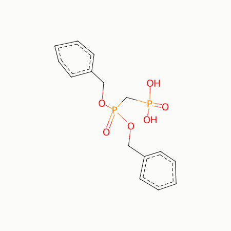 O=P(O)(O)CP(=O)(OCc1ccccc1)OCc1ccccc1